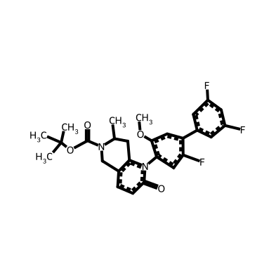 COc1cc(-c2cc(F)cc(F)c2)c(F)cc1-n1c2c(ccc1=O)CN(C(=O)OC(C)(C)C)C(C)C2